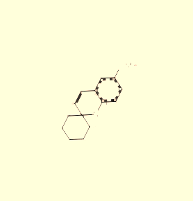 COc1ccc2c(c1)C=CC1(CCCCC1)N2